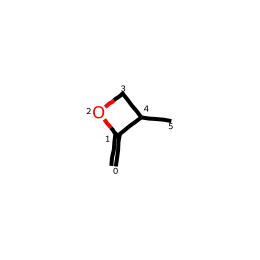 C=C1OCC1C